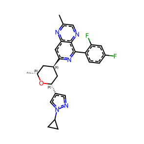 Cc1cnc2c(-c3ccc(F)cc3F)nc([C@@H]3C[C@@H](C)O[C@@H](c4cnn(C5CC5)c4)C3)cc2n1